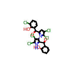 O=C(c1ccccc1O)c1[nH]c(Cl)c(Cl)c1-n1c(C(=O)c2cccc(Cl)c2O)cc(Cl)c1Cl